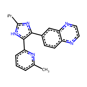 Cc1cccc(-c2[nH]c(C(C)C)nc2-c2ccc3nccnc3c2)n1